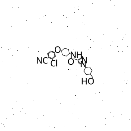 N#Cc1ccc(OC2CCC(NC(=O)c3cnn(C4CCC(CO)CC4)c3)CC2)cc1Cl